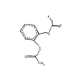 CC(=O)Oc1ccccc1OC(F)F